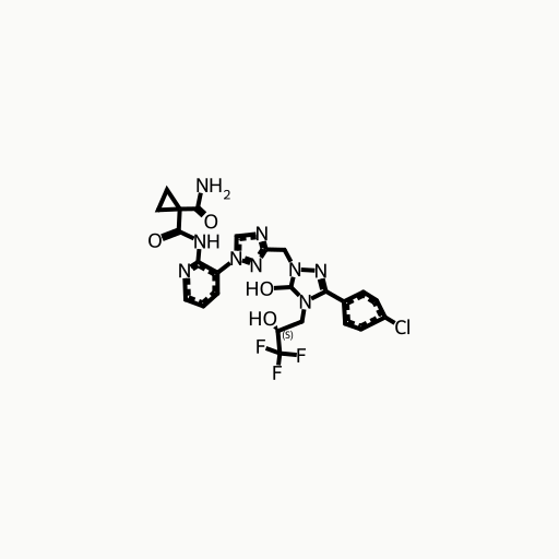 NC(=O)C1(C(=O)Nc2ncccc2-n2cnc(CN3N=C(c4ccc(Cl)cc4)N(C[C@H](O)C(F)(F)F)C3O)n2)CC1